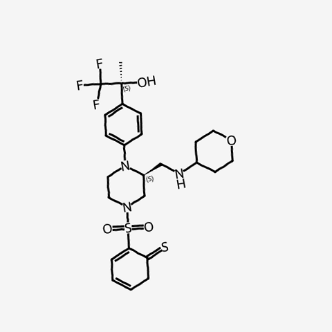 C[C@](O)(c1ccc(N2CCN(S(=O)(=O)C3=CC=CCC3=S)C[C@@H]2CNC2CCOCC2)cc1)C(F)(F)F